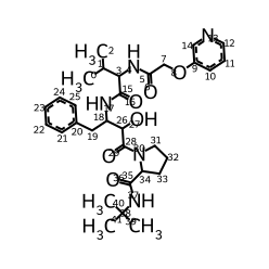 CC(C)C(NC(=O)COc1cccnc1)C(=O)NC(Cc1ccccc1)C(O)C(=O)N1CCCC1C(=O)NC(C)(C)C